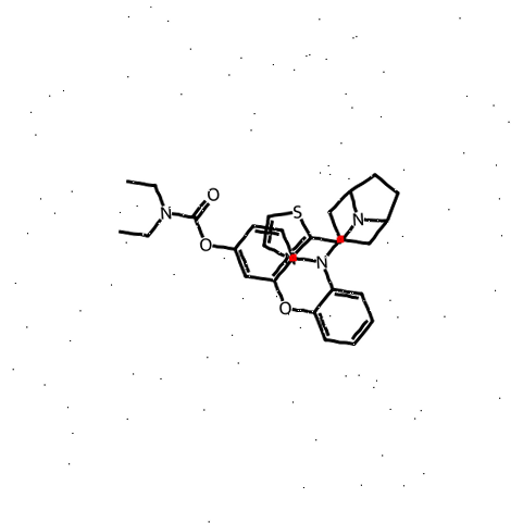 CCN(CC)C(=O)Oc1ccc2c(c1)Oc1ccccc1N2C1CC2CCC(C1)N2Cc1nccs1